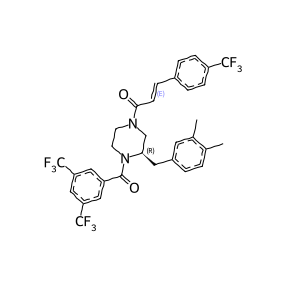 Cc1ccc(C[C@@H]2CN(C(=O)/C=C/c3ccc(C(F)(F)F)cc3)CCN2C(=O)c2cc(C(F)(F)F)cc(C(F)(F)F)c2)cc1C